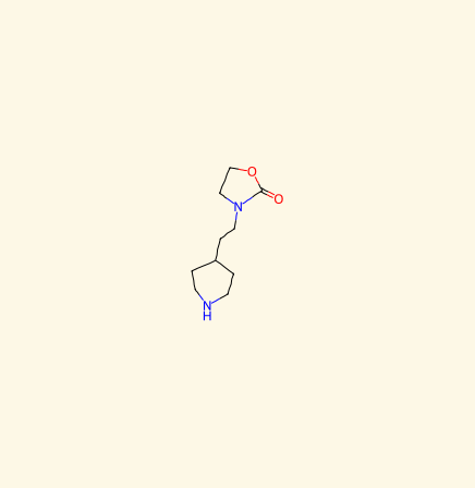 O=C1OCCN1CCC1CCNCC1